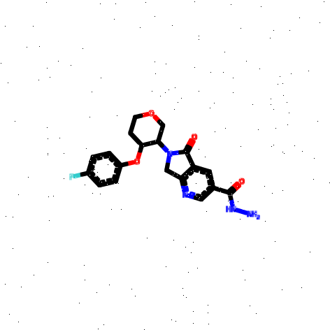 NNC(=O)c1cnc2c(c1)C(=O)N(C1COCCC1Oc1ccc(F)cc1)C2